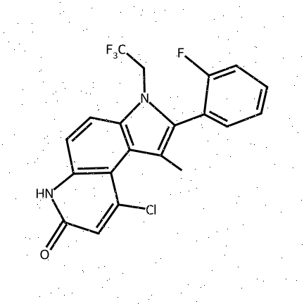 Cc1c(-c2ccccc2F)n(CC(F)(F)F)c2ccc3[nH]c(=O)cc(Cl)c3c12